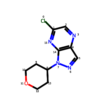 Clc1cnc2cnn(C3CCOCC3)c2n1